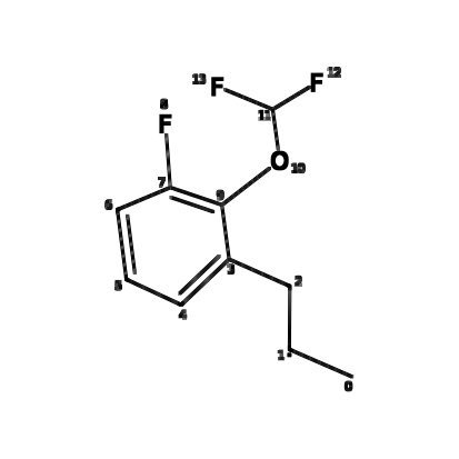 C[CH]Cc1cccc(F)c1OC(F)F